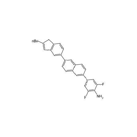 CCCCC1=Cc2cc(-c3ccc4cc(-c5cc(F)c(N)c(F)c5)ccc4c3)ccc2C1